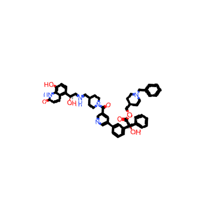 O=C(c1cncc(-c2cccc([C@](O)(C(=O)OCC3CCN(Cc4ccccc4)CC3)c3ccccc3)c2)c1)N1CCC(CNC[C@H](O)c2ccc(O)c3[nH]c(=O)ccc23)CC1